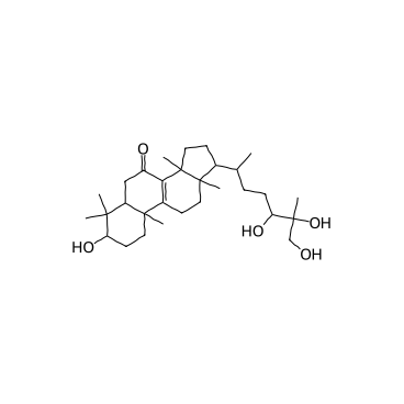 CC(CCC(O)C(C)(O)CO)C1CCC2(C)C3=C(CCC12C)C1(C)CCC(O)C(C)(C)C1CC3=O